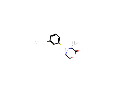 COc1cccc(S(=O)(=O)N2CCOC(=O)[C@@H]2C(C)(C)C)c1